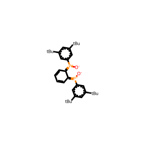 CC(C)(C)c1cc(/[P+]([O-])=C2\C=CC=C\C2=[P+](\[O-])c2cc(C(C)(C)C)cc(C(C)(C)C)c2)cc(C(C)(C)C)c1